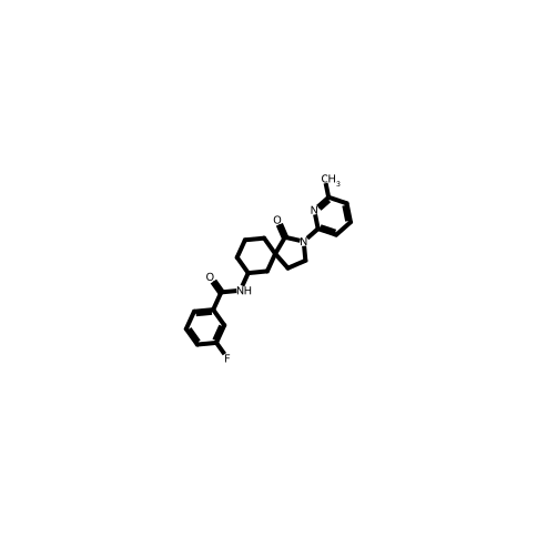 Cc1cccc(N2CCC3(CCCC(NC(=O)c4cccc(F)c4)C3)C2=O)n1